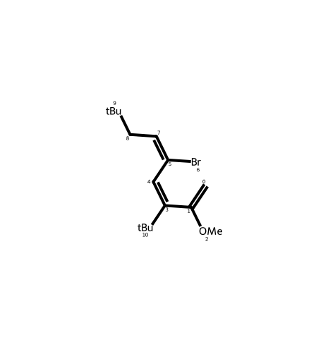 C=C(OC)/C(=C\C(Br)=C/CC(C)(C)C)C(C)(C)C